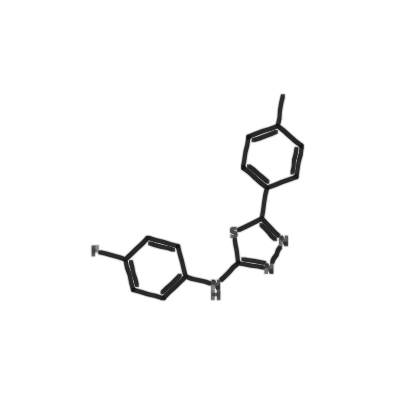 Cc1ccc(-c2nnc(Nc3ccc(F)cc3)s2)cc1